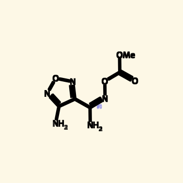 COC(=O)O/N=C(/N)c1nonc1N